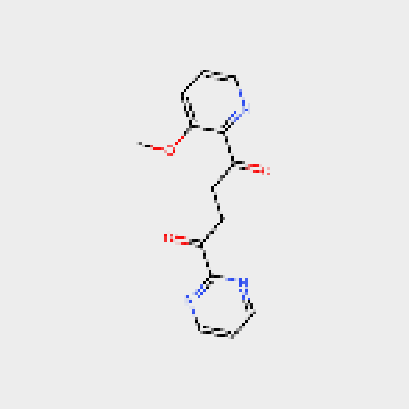 COc1cccnc1C(=O)CCC(=O)c1ncccn1